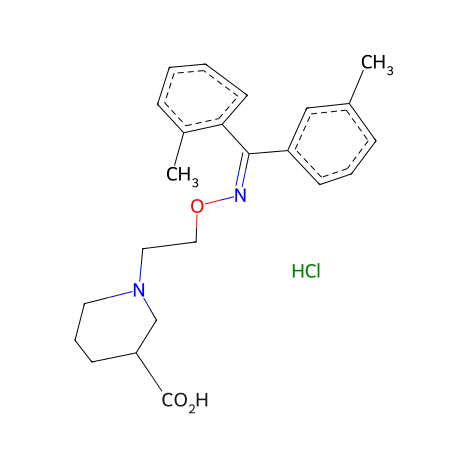 Cc1cccc(C(=NOCCN2CCCC(C(=O)O)C2)c2ccccc2C)c1.Cl